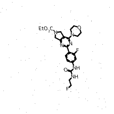 CCOC(=O)N1Cc2nc(-c3ccc(NC(=O)NCCF)cc3F)nc(N3CCOCC3)c2C1